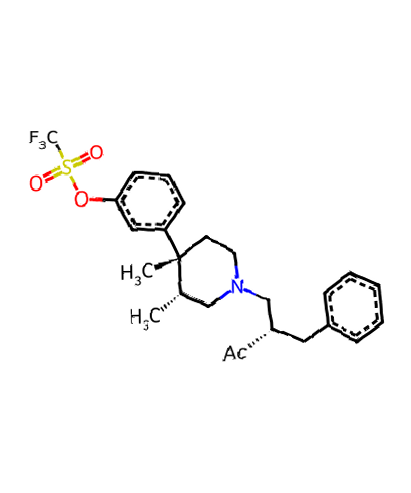 CC(=O)[C@@H](Cc1ccccc1)CN1CC[C@@](C)(c2cccc(OS(=O)(=O)C(F)(F)F)c2)[C@@H](C)C1